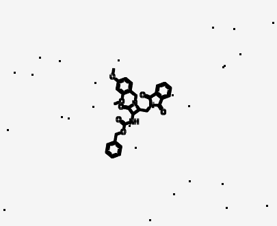 COc1ccc(CN2C(=O)C(NC(=O)OCc3ccccc3)C2CN2C(=O)c3ccccc3C2=O)c(OC)c1